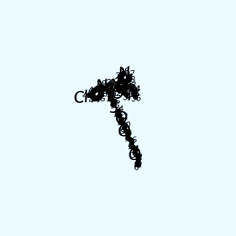 C#CCOCCCCCOCCOCCSCCCn1c(CN(C)c2cnccc2C2(C=O)CCN(C)CC2)nc2cc(Cl)ccc21